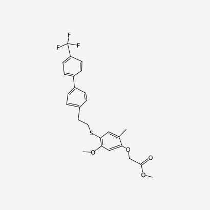 COC(=O)COc1cc(OC)c(SCCc2ccc(-c3ccc(C(F)(F)F)cc3)cc2)cc1C